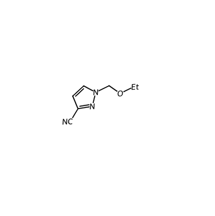 CCOCn1ccc(C#N)n1